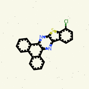 Clc1cccc2c1sc1nc3c4ccccc4c4ccccc4c3nc12